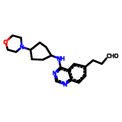 O=CCCc1ccc2ncnc(NC3CCC(N4CCOCC4)CC3)c2c1